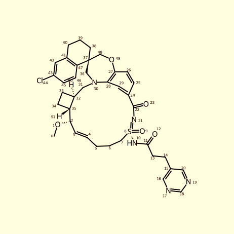 CO[C@H]1/C=C/CCC[S@@](=O)(NC(=O)CCc2cncnc2)=NC(=O)c2ccc3c(c2)N(C[C@@H]2CC[C@H]21)C[C@@]1(CCCc2cc(Cl)ccc21)CO3